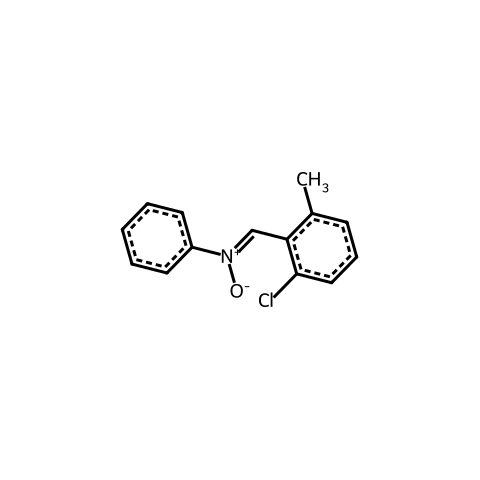 Cc1cccc(Cl)c1C=[N+]([O-])c1ccccc1